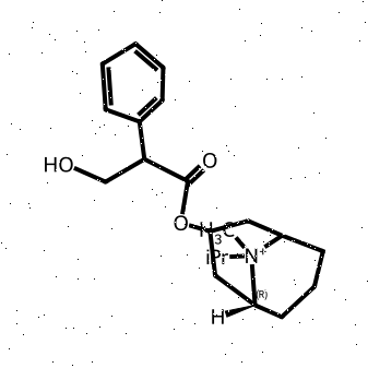 CC(C)[N+]1(C)C2CCC[C@@H]1CC(OC(=O)C(CO)c1ccccc1)C2